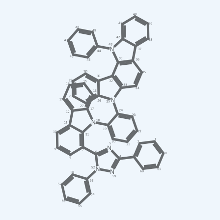 c1ccc(-c2nc(-c3cccc4c5ccccc5n(-c5ccccc5-n5c6ccccc6c6c5ccc5c7ccccc7n(-c7ccccc7)c56)c34)n(-c3ccccc3)n2)cc1